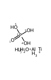 O.O=P(O)(O)O.[AlH3].[LiH].[Ti]